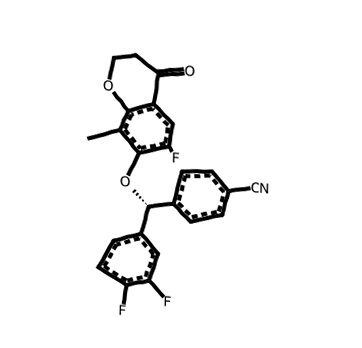 Cc1c(O[C@H](c2ccc(C#N)cc2)c2ccc(F)c(F)c2)c(F)cc2c1OCCC2=O